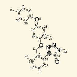 Cc1ccc(Oc2ccc(OCc3c(C)cccc3-n3nnn(C)c3=O)c(C)c2)cc1